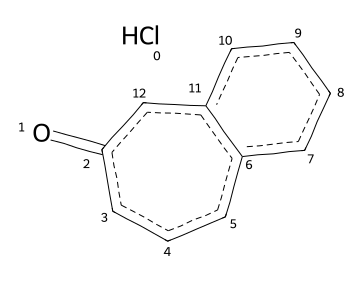 Cl.O=c1cccc2ccccc2c1